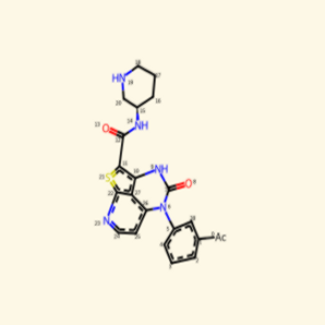 CC(=O)c1cccc(N2C(=O)Nc3c(C(=O)N[C@@H]4CCCNC4)sc4nccc2c34)c1